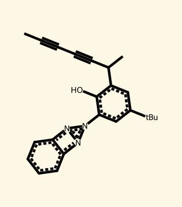 CC#CC#CC(C)c1cc(C(C)(C)C)cc(-n2n3c4ccccc4n23)c1O